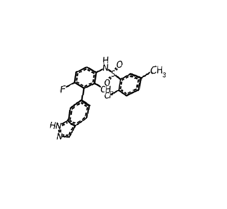 Cc1ccc(Cl)c(S(=O)(=O)Nc2ccc(F)c(-c3ccc4cn[nH]c4c3)c2C)c1